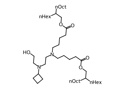 CCCCCCCCC(CCCCCC)COC(=O)CCCCN(CCCCC(=O)OCC(CCCCCC)CCCCCCCC)CCN(CCO)C1CCC1